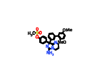 COc1ccc(OC)c(-c2cccc(C3(c4ccc(OS(C)(=O)=O)cc4)N=C(N)N4CCCN=C43)c2)c1